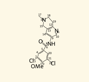 COc1c(Cl)cc(C(=O)Nc2cnc3c(c2)CN(C)CC3)cc1Cl